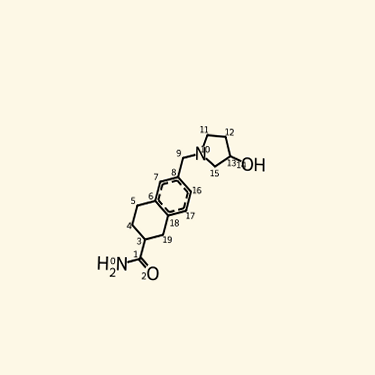 NC(=O)C1CCc2cc(CN3CCC(O)C3)ccc2C1